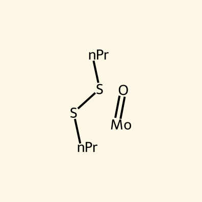 CCCSSCCC.[O]=[Mo]